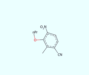 CCCOc1c([N+](=O)[O-])ccc(C#N)c1C